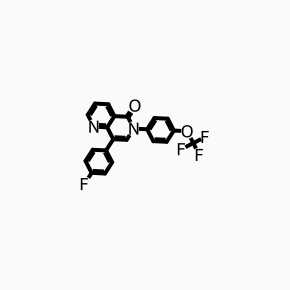 O=c1c2cccnc2c(-c2ccc(F)cc2)cn1-c1ccc(OC(F)(F)F)cc1